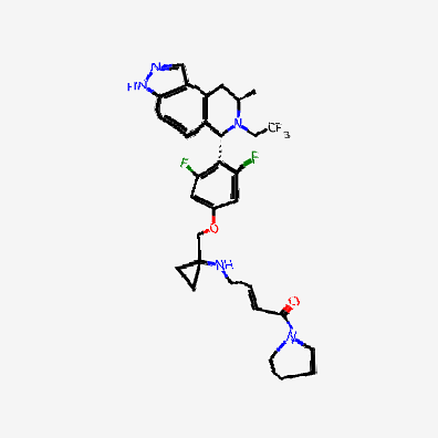 C[C@@H]1Cc2c(ccc3[nH]ncc23)[C@@H](c2c(F)cc(OCC3(NC/C=C/C(=O)N4CCCC4)CC3)cc2F)N1CC(F)(F)F